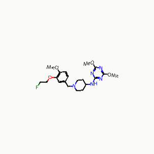 COc1nc(NC2CCN(Cc3ccc(OC)c(OCCF)c3)CC2)nc(OC)n1